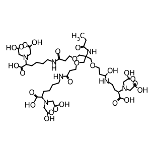 CCC(=O)NC(COCCC(=O)NCCCCC(C(=O)O)N(CC(=O)O)CC(=O)O)(COCCC(=O)NCCCCC(C(=O)O)N(CC(=O)O)CC(=O)O)COCCC(O)NCCC(C(=O)O)N(CC(=O)O)CC(=O)O